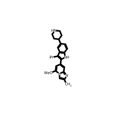 COc1cc(-c2[nH]c3ccc(C4CCNCC4)cc3c2C(C)C)cc2nc(C)cn12